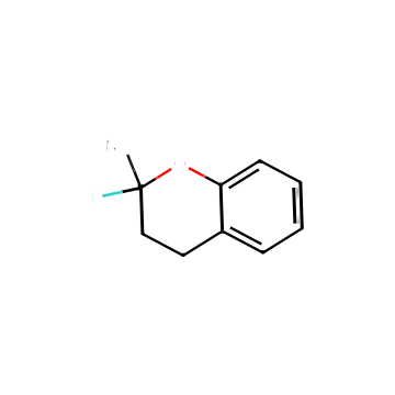 N#CC1(F)CCc2ccccc2O1